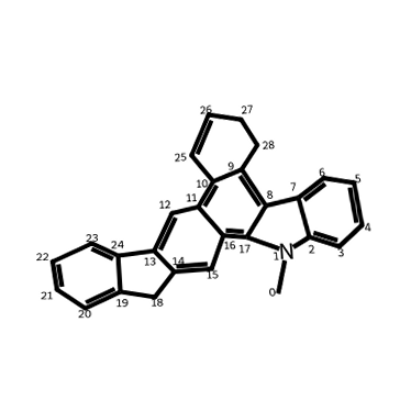 Cn1c2ccccc2c2c3c(c4cc5c(cc4c21)Cc1ccccc1-5)C=CCC3